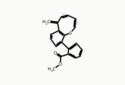 C=C1/C=C\C=C/Sc2c1cccc2-c1ccccc1C(=O)OC